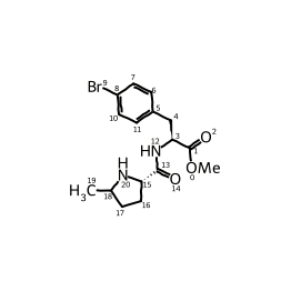 COC(=O)[C@H](Cc1ccc(Br)cc1)NC(=O)[C@@H]1CCC(C)N1